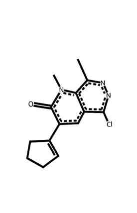 Cc1nnc(Cl)c2cc(C3=CCCC3)c(=O)n(C)c12